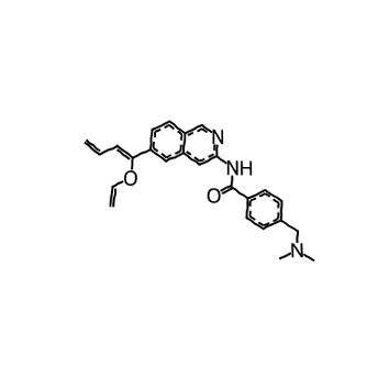 C=C/C=C(\OC=C)c1ccc2cnc(NC(=O)c3ccc(CN(C)C)cc3)cc2c1